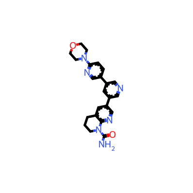 NC(=O)N1CCCc2cc(-c3cncc(-c4ccc(N5CCOCC5)nc4)c3)cnc21